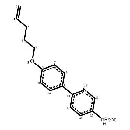 C=CCCCOc1ccc(-c2ccc(CCCCC)cn2)cc1